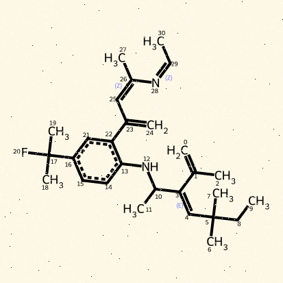 C=C(C)/C(=C\C(C)(C)CC)C(C)Nc1ccc(C(C)(C)F)cc1C(=C)/C=C(C)\N=C/C